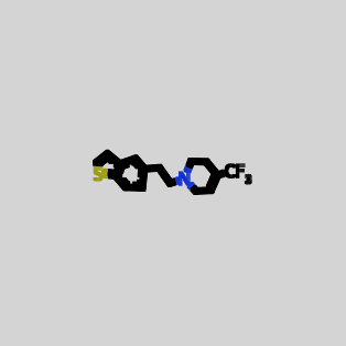 FC(F)(F)C1=CCN(CCc2ccc3sccc3c2)CC1